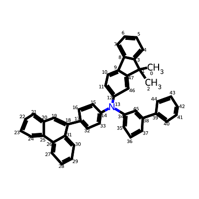 CC1(C)c2ccccc2-c2ccc(N(c3ccc(-c4cc5ccccc5c5ccccc45)cc3)c3cccc(-c4ccccc4)c3)cc21